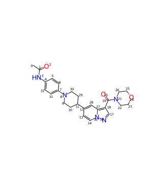 CC(=O)Nc1ccc(N2CCC(c3ccn4ncc(C(=O)N5CCOCC5)c4c3)CC2)cc1